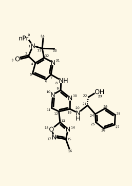 CCCN1C(=O)c2ccc(Nc3ncc(-c4nc(C)no4)c(N[C@H](CO)c4ccccc4)n3)nc2C1(C)C